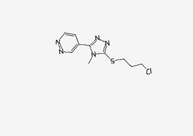 Cn1c(SCCCCl)nnc1-c1ccnnc1